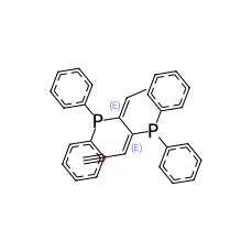 C#C/C=C(\C(=C/C)P(c1ccccc1)c1ccccc1)P(c1ccccc1)c1ccccc1